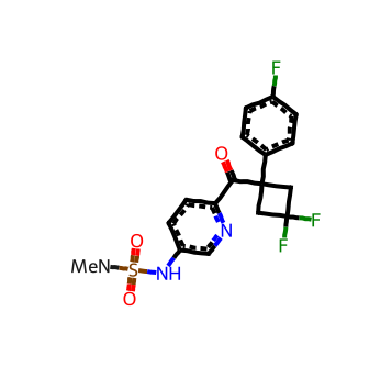 CNS(=O)(=O)Nc1ccc(C(=O)C2(c3ccc(F)cc3)CC(F)(F)C2)nc1